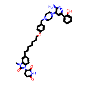 Cn1c(=O)n(C2CCC(=O)NC2=O)c2ccc(CCCCCCCOc3ccc(CN4CCN(c5cc(-c6ccccc6O)nnc5N)CC4)cc3)cc21